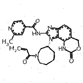 C=CC(=O)N1CCCC[C@@H](n2c(NC(=O)c3ccnc(C)c3)nc3ccc4c(c32)NC(=O)OC4)C1